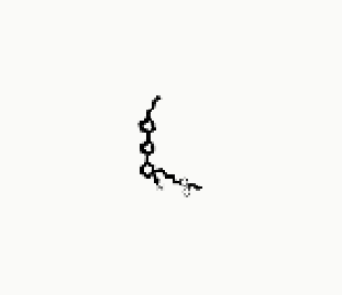 C=CC(=O)OCCCCC1(C#N)CCCC(c2ccc(-c3ccc(CCCC)cc3)cc2)C1